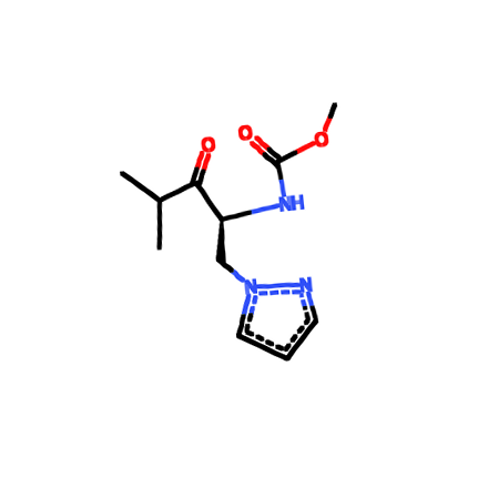 COC(=O)N[C@@H](Cn1cccn1)C(=O)C(C)C